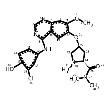 COc1cc2ncnc(Nc3ccc(O)c(Cl)c3)c2cc1O[C@H]1C[C@H](C(=O)N(C)C)N(C)C1